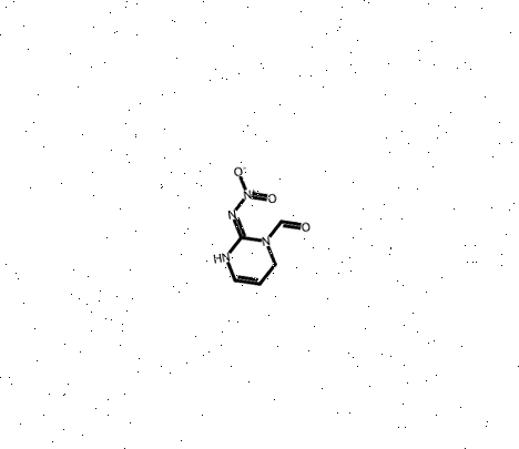 O=CN1CC=CNC1=N[N+](=O)[O-]